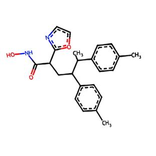 Cc1ccc(C(C)C(CC(C(=O)NO)c2ncco2)c2ccc(C)cc2)cc1